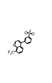 CS(=O)(=O)c1cccc(-c2ccnc3c(C(F)(F)F)cccc23)c1